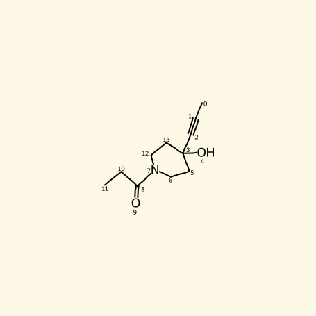 CC#CC1(O)CCN(C(=O)CC)CC1